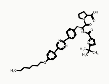 CCCCCCCOc1ccc(-c2cnc(-c3ccc(C[C@H](NC(=O)c4ccc(C(C)(C)C)s4)C(=O)N4CCCC4C(=O)O)cc3)nc2)cc1